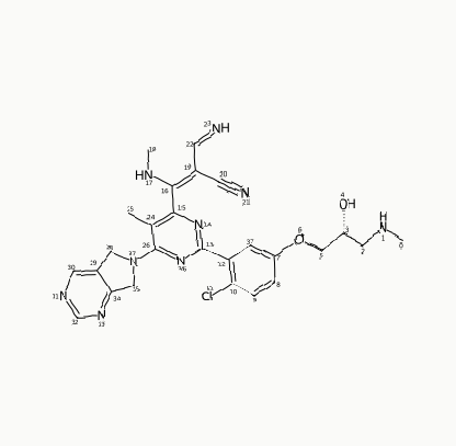 CNC[C@@H](O)COc1ccc(Cl)c(-c2nc(/C(NC)=C(\C#N)C=N)c(C)c(N3Cc4cncnc4C3)n2)c1